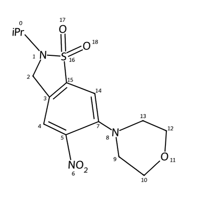 CC(C)N1Cc2cc([N+](=O)[O-])c(N3CCOCC3)cc2S1(=O)=O